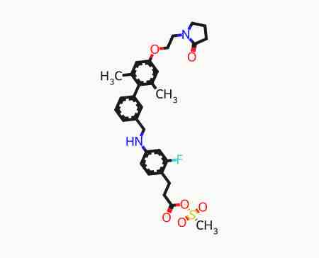 Cc1cc(OCCN2CCCC2=O)cc(C)c1-c1cccc(CNc2ccc(CCC(=O)OS(C)(=O)=O)c(F)c2)c1